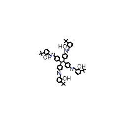 CC(C)(C)c1cccc(/C=N/c2ccc(C(c3ccc(/N=C/c4cccc(C(C)(C)C)c4O)cc3)C(c3ccc(/N=C/c4cccc(C(C)(C)C)c4O)cc3)c3ccc(/N=C/c4cccc(C(C)(C)C)c4O)cc3)cc2)c1O